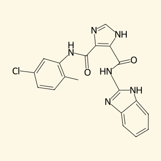 Cc1ccc(Cl)cc1NC(=O)c1nc[nH]c1C(=O)Nc1nc2ccccc2[nH]1